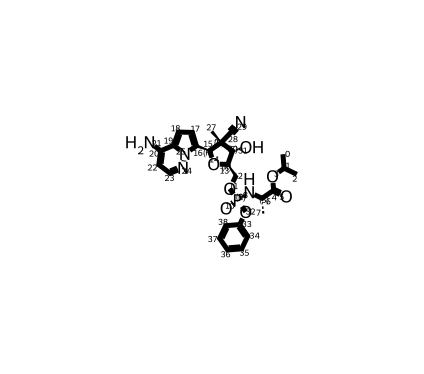 CC(C)OC(=O)[C@H](C)N[P@@](=O)(OC[C@H]1O[C@@H](c2ccc3c(N)ccnn23)[C@](C)(C#N)[C@@H]1O)Oc1ccccc1